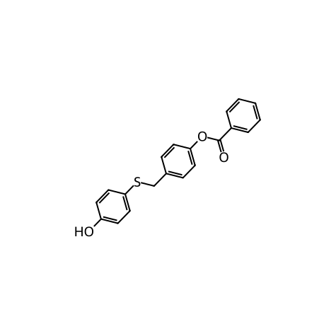 O=C(Oc1ccc(CSc2ccc(O)cc2)cc1)c1ccccc1